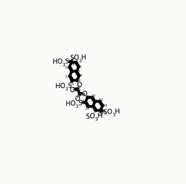 O=C(OC1C=C2C=CC(S(=O)(=O)O)(S(=O)(=O)O)C=C2C=C1S(=O)(=O)O)C(=O)OC1C=C2C=CC(S(=O)(=O)O)(S(=O)(=O)O)C=C2C=C1S(=O)(=O)O